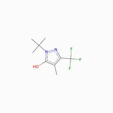 Cc1c(C(F)(F)F)nn(C(C)(C)C)c1O